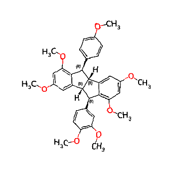 COc1ccc([C@@H]2c3c(OC)cc(OC)cc3[C@H]3[C@H](c4ccc(OC)c(OC)c4)c4c(OC)cc(OC)cc4[C@@H]23)cc1